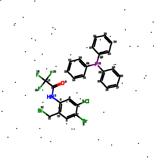 O=C(Nc1cc(Cl)c(Br)cc1CBr)C(F)(F)F.c1ccc(P(c2ccccc2)c2ccccc2)cc1